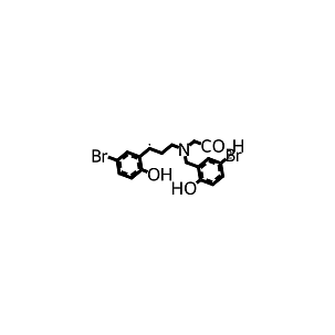 O=C(O)CN(CC[CH]c1cc(Br)ccc1O)Cc1cc(Br)ccc1O